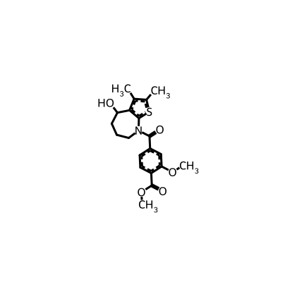 COC(=O)c1ccc(C(=O)N2CCCC(O)c3c2sc(C)c3C)cc1OC